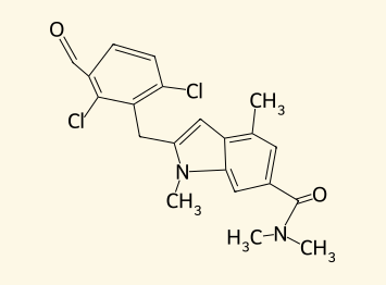 Cc1cc(C(=O)N(C)C)cc2c1cc(Cc1c(Cl)ccc(C=O)c1Cl)n2C